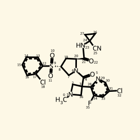 CN1CC(C(=O)N2C[C@H](S(=O)(=O)c3ccccc3Cl)C[C@H]2C(=O)NC2(C#N)CC2)(c2ncc(Cl)cc2F)C1